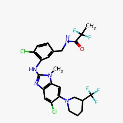 Cn1c(Nc2cc(CNC(=O)C(C)(F)F)ccc2Cl)nc2cc(Cl)c(N3CCCC(C(F)(F)F)C3)cc21